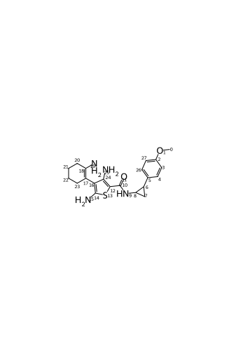 COc1ccc(C2CC2NC(=O)c2sc(N)c(C3=C(N)CCCC3)c2N)cc1